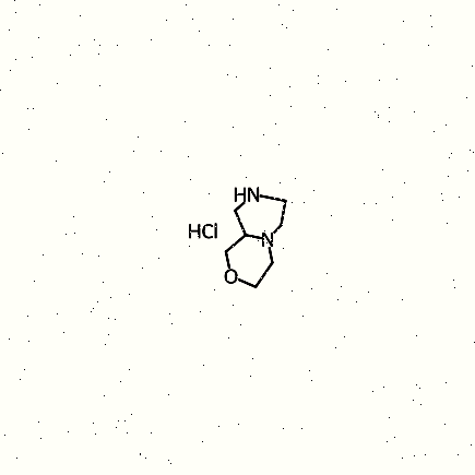 C1CN2CCOCC2CN1.Cl